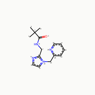 CC(C)(C)C(=O)NCc1nccn1Cc1ccccn1